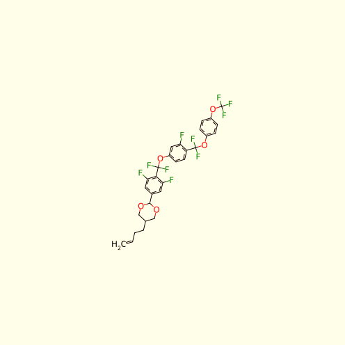 C=CCCC1COC(c2cc(F)c(C(F)(F)Oc3ccc(C(F)(F)Oc4ccc(OC(F)(F)F)cc4)c(F)c3)c(F)c2)OC1